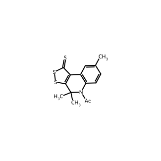 CC(=O)N1c2ccc(C)cc2-c2c(ssc2=S)C1(C)C